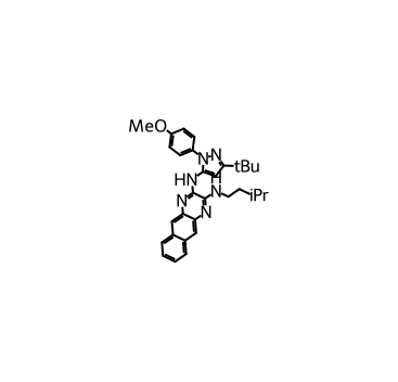 COc1ccc(-n2nc(C(C)(C)C)cc2Nc2nc3cc4ccccc4cc3nc2NCCC(C)C)cc1